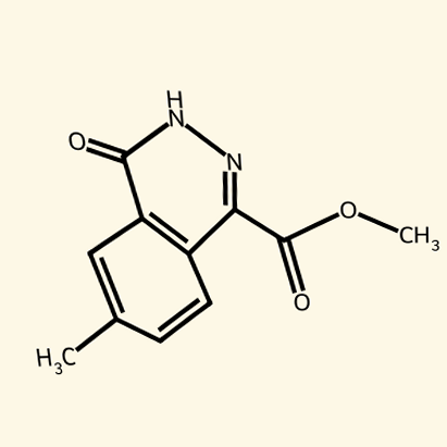 COC(=O)c1n[nH]c(=O)c2cc(C)ccc12